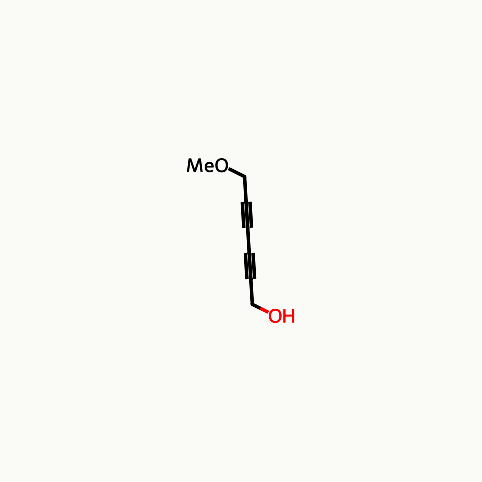 COCC#CC#CCO